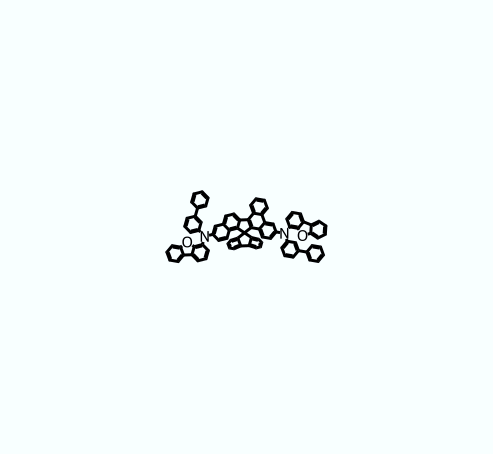 c1ccc(-c2cccc(N(c3ccc4c5c(ccc4c3)-c3c(c4ccc(N(c6cccc(-c7ccccc7)c6)c6cccc7c6oc6ccccc67)cc4c4ccccc34)C53c4ccccc4-c4ccccc43)c3cccc4c3oc3ccccc34)c2)cc1